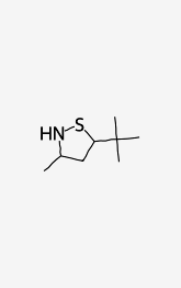 CC1CC(C(C)(C)C)SN1